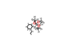 C=Cc1ccccc1C(C)[Si](O[Si](C)(C)C)(O[Si](C)(C)C)O[Si](C)(C)C